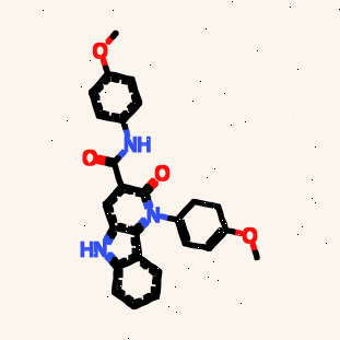 COC1=CC=C(n2c(=O)c(C(=O)Nc3ccc(OC)cc3)cc3[nH]c4ccccc4c32)CC1